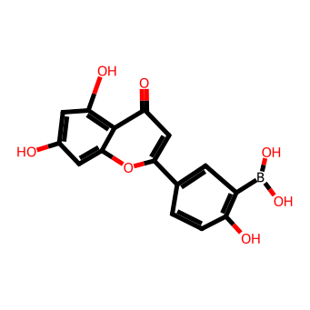 O=c1cc(-c2ccc(O)c(B(O)O)c2)oc2cc(O)cc(O)c12